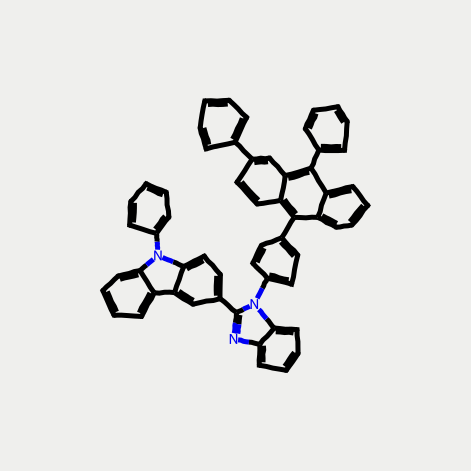 c1ccc(-c2ccc3c(-c4ccc(-n5c(-c6ccc7c(c6)c6ccccc6n7-c6ccccc6)nc6ccccc65)cc4)c4ccccc4c(-c4ccccc4)c3c2)cc1